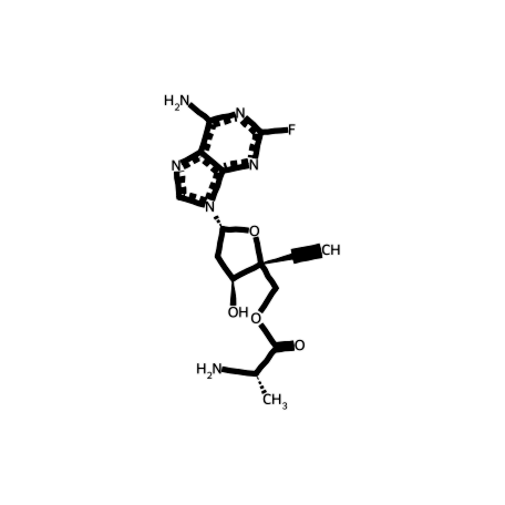 C#C[C@]1(COC(=O)[C@H](C)N)O[C@@H](n2cnc3c(N)nc(F)nc32)C[C@@H]1O